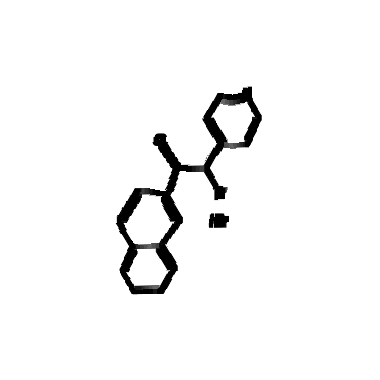 Br.O=C(c1ccc2ccccc2c1)C(Br)c1ccncc1